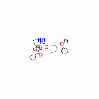 CCOc1ccccc1[C@H]1CC[C@@H](OC[C@@H]2NCCC[C@@H]2NS(=O)(=O)C2CCCC2)CC1